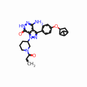 C=CC(=O)N1CCCC(n2nc(-c3ccc(OC4CC5C6C4C56)cc3)c3c(N)n[nH]c(=O)c32)C1